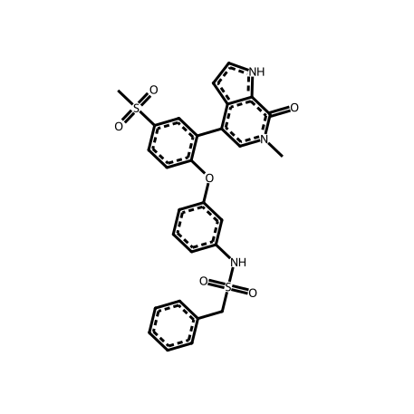 Cn1cc(-c2cc(S(C)(=O)=O)ccc2Oc2cccc(NS(=O)(=O)Cc3ccccc3)c2)c2cc[nH]c2c1=O